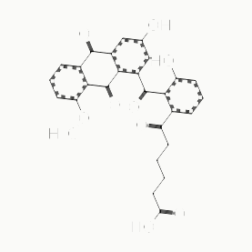 COc1cccc2c1C(=O)c1c(cc(O)cc1C(=O)c1c(O)cccc1C(=O)CCCCC(=O)O)C2=O